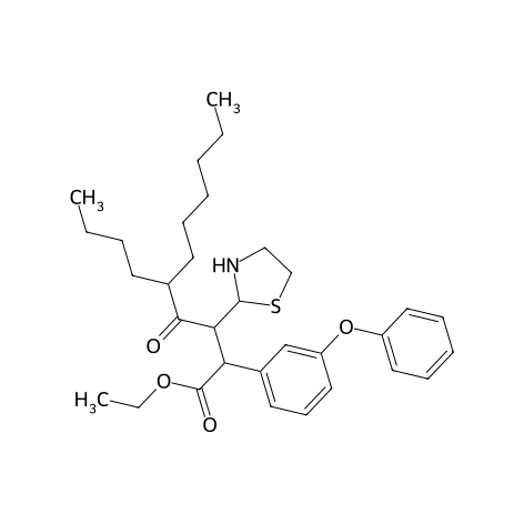 CCCCCCC(CCCC)C(=O)C(C1NCCS1)C(C(=O)OCC)c1cccc(Oc2ccccc2)c1